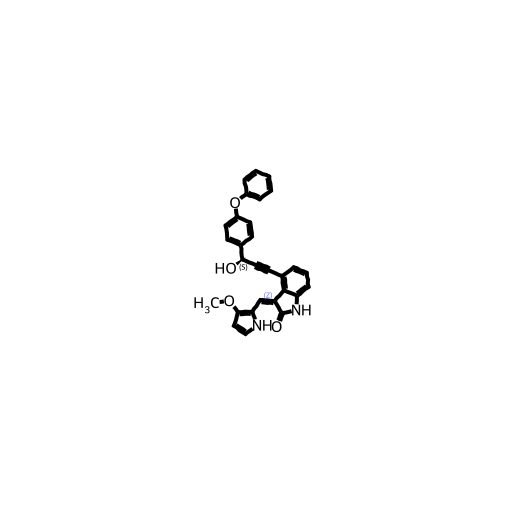 COc1cc[nH]c1/C=C1\C(=O)Nc2cccc(C#C[C@@H](O)c3ccc(Oc4ccccc4)cc3)c21